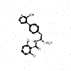 N#Cc1sccc1-c1ccc(C[C@H](NC(=O)c2c(Cl)cccc2Cl)C(=O)O)cc1